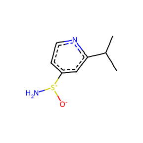 CC(C)c1cc([S+](N)[O-])ccn1